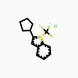 FC(F)(F)[s+]1c(C2CCCC2)cc2ccccc21.[Cl-]